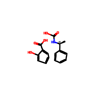 C[C@H](NC(=O)O)c1ccccc1.O=C(O)c1ccccc1O